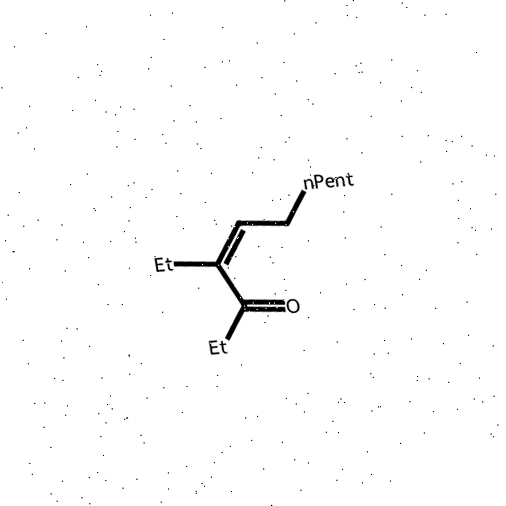 CCCCCCC=C(CC)C(=O)CC